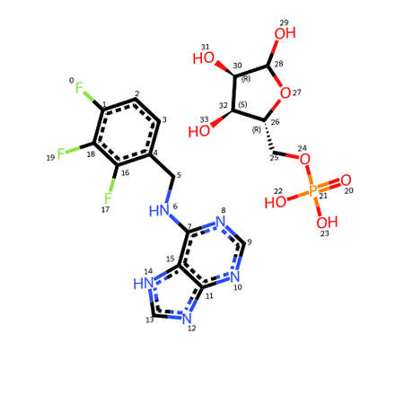 Fc1ccc(CNc2ncnc3nc[nH]c23)c(F)c1F.O=P(O)(O)OC[C@H]1OC(O)[C@H](O)[C@@H]1O